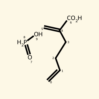 C=CCCC(=C)C(=O)O.O=[PH2]O